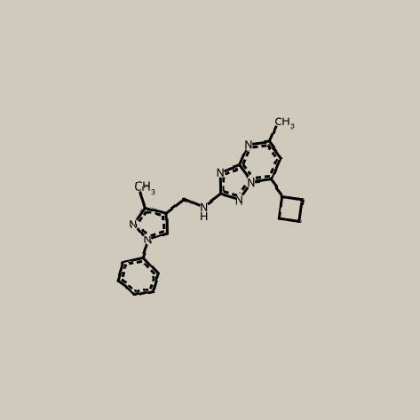 Cc1cc(C2CCC2)n2nc(NCc3cn(-c4ccccc4)nc3C)nc2n1